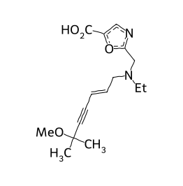 CCN(CC=CC#CC(C)(C)OC)Cc1ncc(C(=O)O)o1